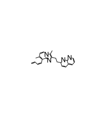 C=C/C=C\c1c(C)ccn2c(C)c(CCc3ccc4cccnc4n3)nc12